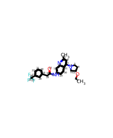 CCO[C@H]1CCN(c2cc(C)nc3cc(NC(=O)Cc4cccc(C(F)(F)F)c4)ccc23)C1